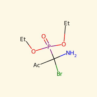 CCOP(=O)(OCC)C(N)(Br)C(C)=O